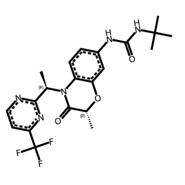 C[C@H](c1nccc(C(F)(F)F)n1)N1C(=O)[C@@H](C)Oc2cc(NC(=O)NC(C)(C)C)ccc21